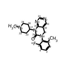 Cc1cccc(F)c1N1Cc2cncnc2N(C2CCN(C)CC2)C1=O